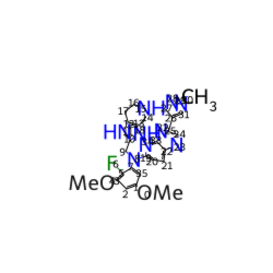 COc1cc(OC)c(F)c(N(CC2NC3=C(CNCC3)N2)c2ccc3ncc(-c4cnn(C)c4)nc3n2)c1